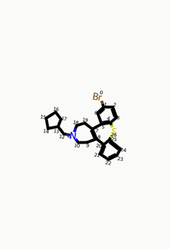 Brc1ccc2c(c1)C1=C(CCN(CC3CCCC3)CC1)c1ccccc1S2